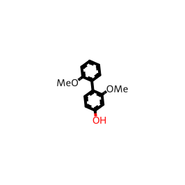 COc1ccccc1-c1ccc(O)cc1OC